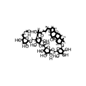 C[C@H](CC[C@@H](O[C@@H]1O[C@H](CO[C@@H]2OC(C=C=CO)[C@@H](O)C[C@H]2O)[C@@H](O)[C@H](O)[C@H]1O)C(C)(C)O)C1CC[C@@]2(C)C3CC=C4C(CC[C@H](O[C@@H]5O[C@H](CO[C@@H]6O[C@H](CO)[C@@H](O)[C@H](O)[C@H]6O)[C@@H](O)[C@H](O)[C@H]5O)C4(C)C)[C@]3(C)[C@H](O)C[C@]12C